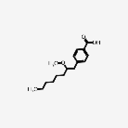 CCCCCCC(Cc1ccc(C(=O)O)cc1)OC